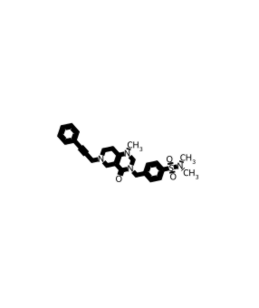 CN1CN(Cc2ccc(S(=O)(=O)N(C)C)cc2)C(=O)C2=C1CCN(CC#Cc1ccccc1)C2